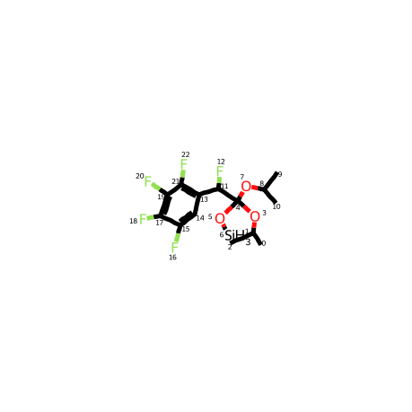 CC(C)OC(O[SiH3])(OC(C)C)C(F)c1cc(F)c(F)c(F)c1F